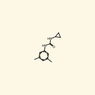 Cc1cc(C)cc(NC(=O)NC2CC2)c1